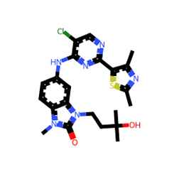 Cc1nc(C)c(-c2ncc(Cl)c(Nc3ccc4c(c3)n(CCC(C)(C)O)c(=O)n4C)n2)s1